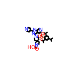 CC(C)c1cc(C(C)C)c(S(=O)(=O)Oc2cncc3nc(-c4ccncc4)nc(N4CCC5(CCN(C(=O)O)C5)CC4)c23)c(C(C)C)c1